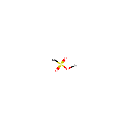 CCO[S](=O)(=O)[Ni]